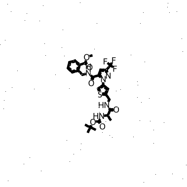 COC(=O)c1ccccc1CNC(=O)c1cc(C(F)(F)F)nn1-c1csc(CNC(=O)C(C)NC(=O)OC(C)(C)C)c1